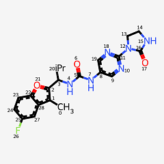 Cc1c(C(NC(=O)Nc2cnc(N3CCNC3=O)nc2)C(C)C)oc2ccc(F)cc12